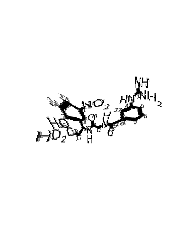 N=C(N)Nc1cccc(C(=O)NCC(=O)NC(CC(=O)O)c2cc([N+](=O)[O-])ccc2O)c1